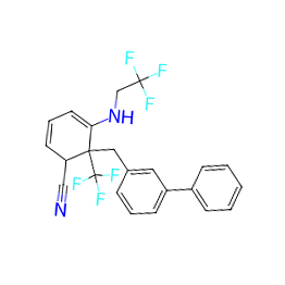 N#CC1C=CC=C(NCC(F)(F)F)C1(Cc1cccc(-c2ccccc2)c1)C(F)(F)F